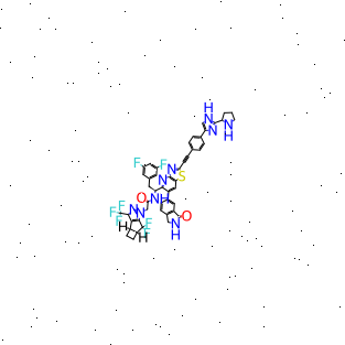 O=C(Cn1nc(C(F)(F)F)c2c1C(F)(F)[C@@H]1CC[C@H]21)N[C@@H](Cc1cc(F)cc(F)c1)c1nc2nc(C#Cc3ccc(-c4c[nH]c(C5CCCN5)n4)cc3)sc2cc1-c1ccc2c(c1)C(=O)NC2